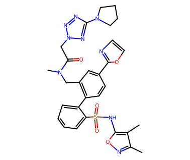 Cc1noc(NS(=O)(=O)c2ccccc2-c2ccc(-c3ncco3)cc2CN(C)C(=O)Cn2nnc(N3CCCC3)n2)c1C